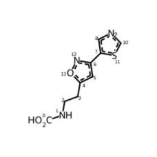 O=C(O)NCCc1cc(-c2cncs2)no1